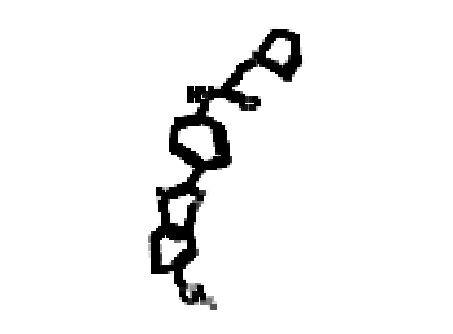 Cc1ccc2nc(-c3ccc(NC(=O)CN4CCCC4)cc3)sc2c1